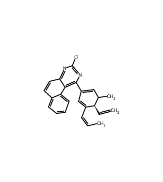 C=C[C@H]1C(/C=C\C)=CC(c2nc(Cl)nc3ccc4ccccc4c23)=CC1C